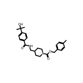 Cc1ccc(COC(=O)N2CCC(CNC(=O)c3ccc(C(C)(C)O)cc3)CC2)cc1